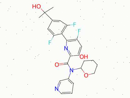 CC(C)(O)c1cc(F)c(-c2nc(C(=O)N(c3cccnc3)C3CCCCO3)c(O)cc2F)c(F)c1